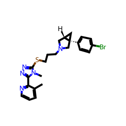 Cc1cccnc1-c1nnc(SCCCN2C[C@@H]3C[C@@]3(c3ccc(Br)cc3)C2)n1C